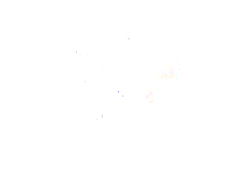 Cc1cccc(Nc2ccccc2C(=O)[O-])c1C.[Na+]